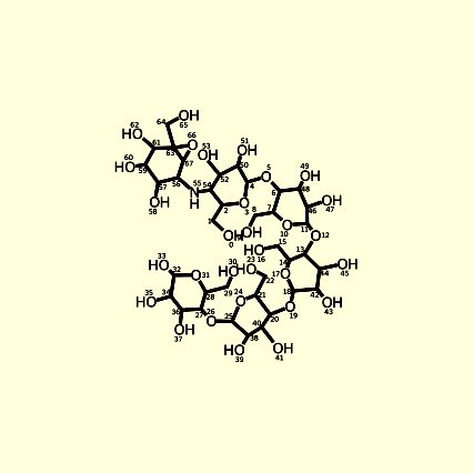 OCC1OC(OC2C(CO)OC(OC3C(CO)OC(OC4C(CO)OC(OC5C(CO)OC(O)C(O)C5O)C(O)C4O)C(O)C3O)C(O)C2O)C(O)C(O)C1NC1C(O)C(O)C(O)C2(CO)OC12